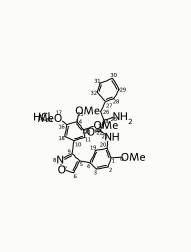 COc1ccc(-c2conc2-c2cc(OC)c(OC)c(OC)c2)cc1NC(=O)C(N)Cc1ccccc1.Cl